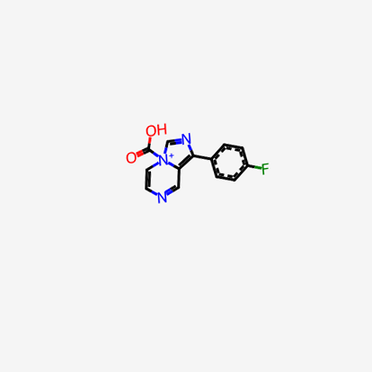 O=C(O)[N+]12C=CN=CC1=C(c1ccc(F)cc1)N=C2